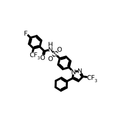 O=C(NS(=O)(=O)c1ccc(-n2nc(C(F)(F)F)cc2C2=CCCC=C2)cc1)c1ccc(F)cc1C(F)(F)F